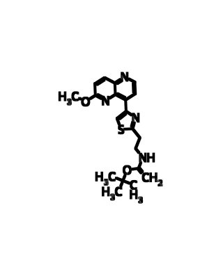 C=C(NCCc1nc(-c2ccnc3ccc(OC)nc23)cs1)OC(C)(C)C